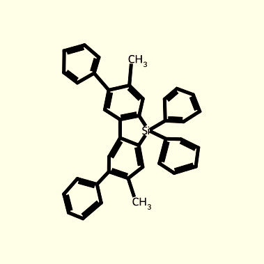 Cc1cc2c(cc1-c1ccccc1)-c1cc(-c3ccccc3)c(C)cc1[Si]2(c1ccccc1)c1ccccc1